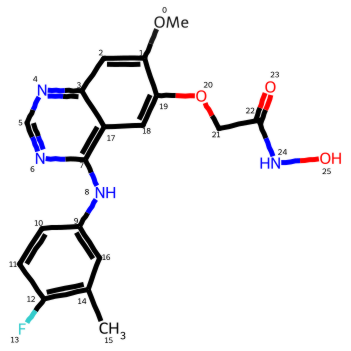 COc1cc2ncnc(Nc3ccc(F)c(C)c3)c2cc1OCC(=O)NO